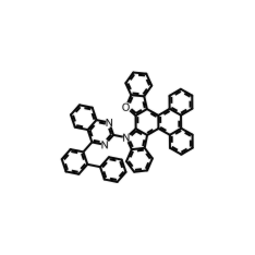 c1ccc(-c2ccccc2-c2nc(-n3c4ccccc4c4c5c6ccccc6c6ccccc6c5c5c6ccccc6oc5c43)nc3ccccc23)cc1